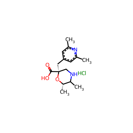 Cc1cc(C[C@]2(C(=O)O)CNC(C)[C@H](C)O2)cc(C)n1.Cl